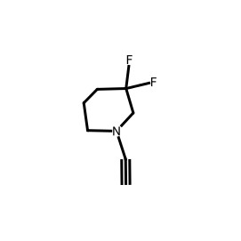 C#CN1CCCC(F)(F)C1